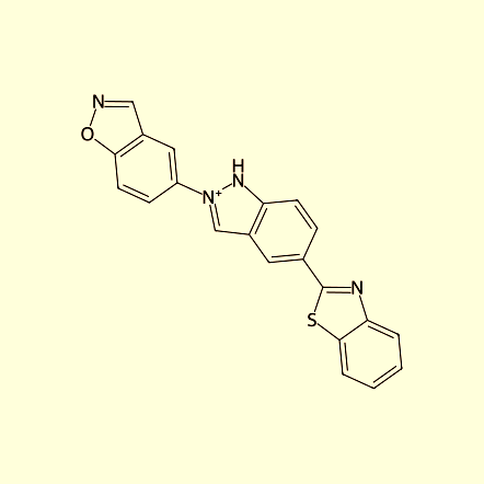 c1ccc2sc(-c3ccc4[nH][n+](-c5ccc6oncc6c5)cc4c3)nc2c1